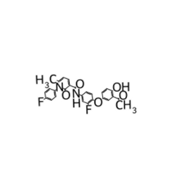 CC(=O)c1cc(Oc2ccc(NC(=O)c3ccc(C)n(-c4ccc(F)cc4)c3=O)cc2F)ccc1O